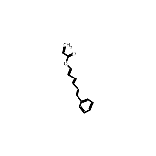 C=CC(=O)OC=CC=CC=Cc1ccccc1